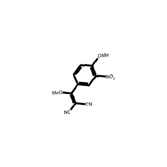 COC(=C(C#N)C#N)c1ccc(OC)c([N+](=O)[O-])c1